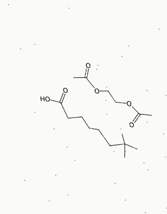 CC(=O)OCCOC(C)=O.CC(C)(C)CCCCCC(=O)O